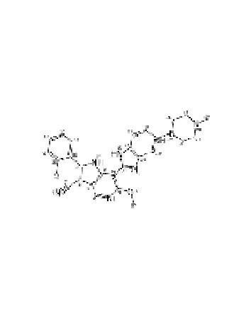 COc1ncc2c(C#N)c(-c3ccccc3C)[nH]c2c1-c1nc2cc(N3CCN(C)CC3)ccc2[nH]1